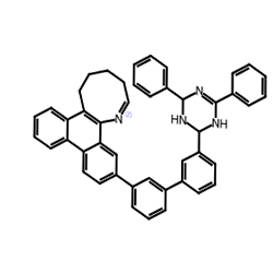 C1=N\c2c(c3ccccc3c3ccc(-c4cccc(-c5cccc(C6NC(c7ccccc7)=NC(c7ccccc7)N6)c5)c4)cc23)CCCC/1